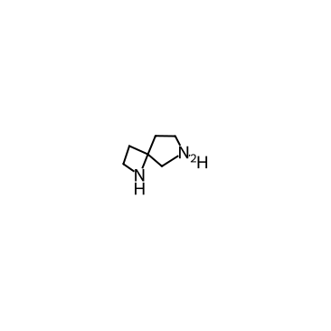 [2H]N1CCC2(CCN2)C1